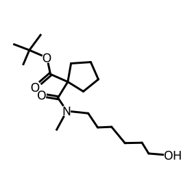 CN(CCCCCCO)C(=O)C1(C(=O)OC(C)(C)C)CCCC1